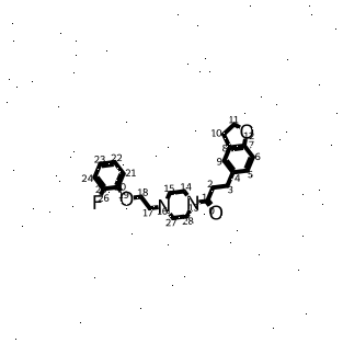 O=C(CCc1ccc2c(c1)CCO2)N1CCN(CCOc2ccccc2F)CC1